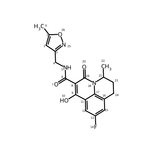 Cc1cc(CNC(=O)c2c(O)c3cc(F)cc4c3n(c2=O)C(C)CC4)no1